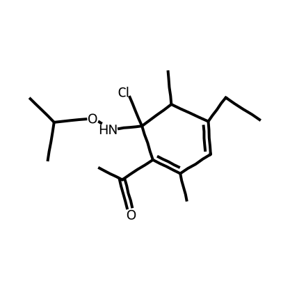 CCC1=CC(C)=C(C(C)=O)C(Cl)(NOC(C)C)C1C